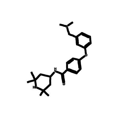 CN(C)Cc1cccc(Oc2ccc(C(=O)NC3CC(C)(C)NC(C)(C)C3)cc2)c1